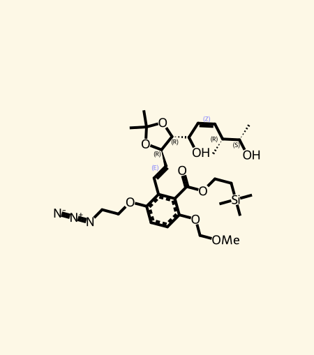 COCOc1ccc(OCCN=[N+]=[N-])c(/C=C/[C@H]2OC(C)(C)O[C@@H]2C(O)/C=C\[C@@H](C)[C@H](C)O)c1C(=O)OCC[Si](C)(C)C